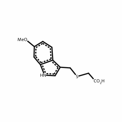 COc1ccc2c(CSCC(=O)O)c[nH]c2c1